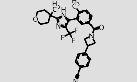 Cc1ccc(C(=O)N2CC(c3ccc(C#N)cc3)C2)cc1-c1[nH]c(C2(C)CCOCC2)nc1C(F)(F)F